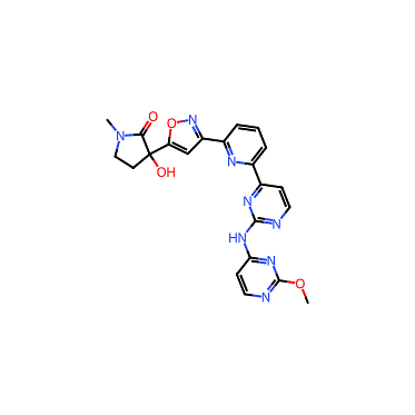 COc1nccc(Nc2nccc(-c3cccc(-c4cc(C5(O)CCN(C)C5=O)on4)n3)n2)n1